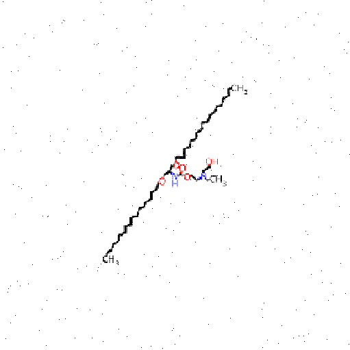 CCCCCCCCC=CCCCCCCCCOCC(COCCCCCCCCC=CCCCCCCCC)NC(=O)OCCN(CC)CCO